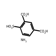 N.O=C(O)c1ccc(S(=O)(=O)O)c(C(=O)O)c1